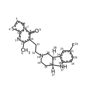 Cc1nc2sccn2c(=O)c1CCN1CC[C@H]2Nc3ccc(F)cc3[C@@H]2C1